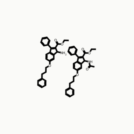 CCOC(=O)C1=C(c2ccccc2)c2ccc(OCCCc3ccccc3)cc2C1N.CCOC(=O)C1=C(c2ccccc2)c2ccc(OCCCc3ccccc3)cc2C1NC(C)=O